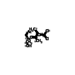 CC(=O)CC(C)=O.CCC(C)=O.CO.ClC(Cl)Cl